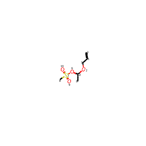 C=CCOC(C)OS(C)(=O)=O